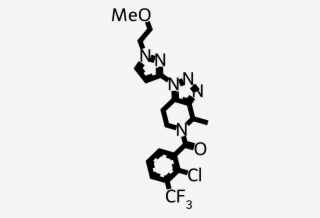 COCCn1ccc(-n2nnc3c2CCN(C(=O)c2cccc(C(F)(F)F)c2Cl)C3C)n1